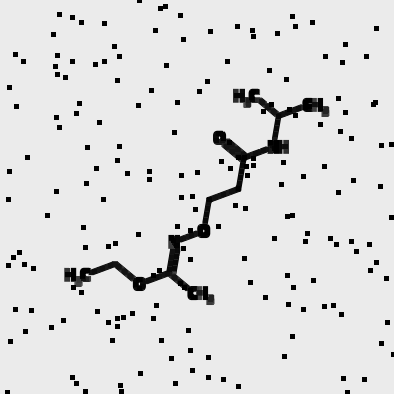 CCOC(C)=NOCCC(=O)NC(C)C